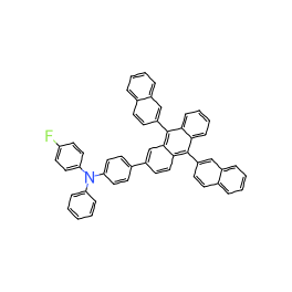 Fc1ccc(N(c2ccccc2)c2ccc(-c3ccc4c(-c5ccc6ccccc6c5)c5ccccc5c(-c5ccc6ccccc6c5)c4c3)cc2)cc1